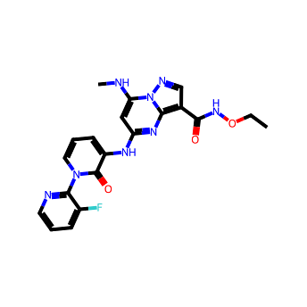 CCONC(=O)c1cnn2c(NC)cc(Nc3cccn(-c4ncccc4F)c3=O)nc12